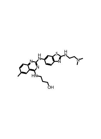 Cc1ccc2nc(Nc3ccc4nc(NCCN(C)C)sc4c3)nc(NCCCO)c2c1